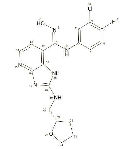 O/N=C(/Nc1ccc(F)c(Cl)c1)c1ccnc2nc(NC[C@@H]3CCCO3)[nH]c12